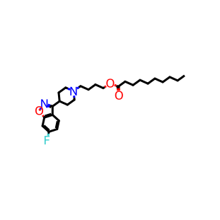 CCCCCCCCCC(=O)OCCCCN1CCC(c2noc3cc(F)ccc23)CC1